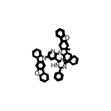 CC12C=c3oc4ccccc4c3=CC1N(c1ncc(N3C4=CC=CCC4c4cc5c(cc43)C3C=CC=CC3O5)cc1C1=NC(C3C=CC=CC3)=NC(c3ccccc3)N1)C1=CC=CCC12